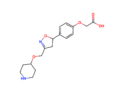 O=C(O)COc1ccc(C2CC(COC3CCNCC3)=NO2)cc1